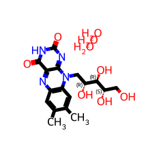 Cc1cc2nc3c(=O)[nH]c(=O)nc-3n(C[C@@H](O)[C@@H](O)[C@@H](O)CO)c2cc1C.O.O.O